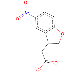 O=C(O)CC1COc2ccc([N+](=O)[O-])cc21